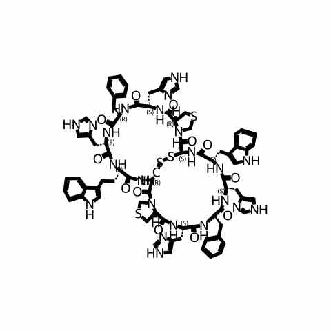 O=C1N[C@H]2CSS[C@H](NC(=O)[C@H](Cc3c[nH]c4ccccc34)NC(=O)[C@H](Cc3c[nH]cn3)NC(=O)[C@@H](Cc3ccccc3)NC(=O)[C@H](Cc3c[nH]cn3)NC(=O)[C@@H]3CSCN3C2=O)C(=O)N2CSC[C@H]2C(=O)N[C@@H](Cc2c[nH]cn2)C(=O)N[C@H](Cc2ccccc2)C(=O)N[C@@H](Cc2c[nH]cn2)C(=O)N[C@H]1CCc1c[nH]c2ccccc12